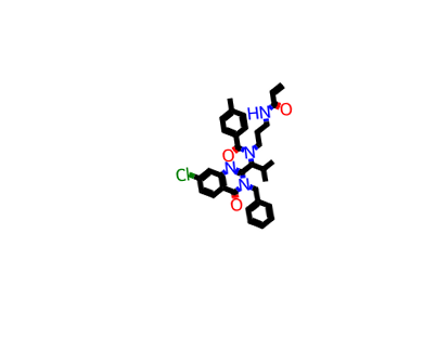 C=CC(=O)NCCCN(C(=O)c1ccc(C)cc1)C(c1nc2cc(Cl)ccc2c(=O)n1Cc1ccccc1)C(C)C